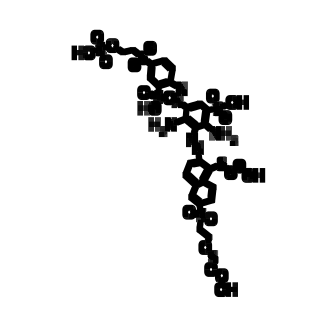 Nc1c(/N=N/c2ccc(S(=O)(=O)CCOS(=O)(=O)O)cc2S(=O)(=O)O)cc(S(=O)(=O)O)c(N)c1/N=N/c1ccc2cc(S(=O)(=O)CCOSOOO)ccc2c1SOOO